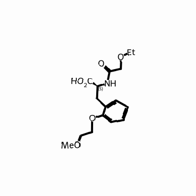 CCOCC(=O)N[C@@H](Cc1ccccc1OCCOC)C(=O)O